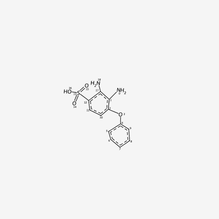 Nc1c(Oc2ccccc2)ccc(S(=O)(=O)O)c1N